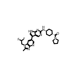 Cc1nc2ncc(-c3c[nH]c4nc(N[C@H]5CC[C@@H](C(=O)N6CCCC6)CC5)ncc34)cc2n1CC(F)F